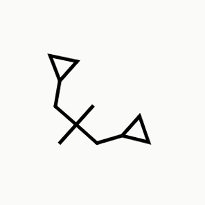 CC(C)(CC1CC1)CC1CC1